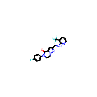 O=C1c2cc(CNc3ncccc3C(F)(F)F)nn2CCN1c1ccc(F)cc1